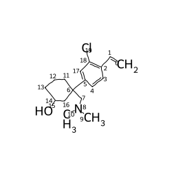 C=Cc1ccc(C2(CN(C)C)CCCC(O)C2)cc1Cl